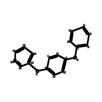 c1ccc(Oc2ccc(Oc3cccnc3)cc2)cc1